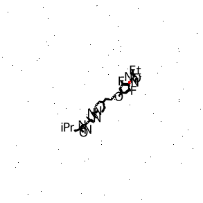 CCc1nc(-c2c(F)cc(OCCCC3CCN(c4ncc(-c5noc(CC(C)C)n5)cn4)CC3)cc2F)no1